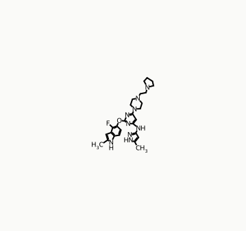 Cc1cc(Nc2cc(N3CCN(CCN4CCCC4)CC3)nc(Oc3ccc4[nH]c(C)cc4c3F)n2)n[nH]1